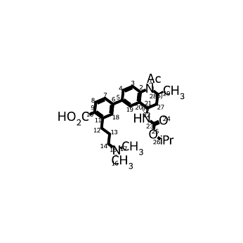 CC(=O)N1c2ccc(-c3ccc(C(=O)O)c(CCCN(C)C)c3)cc2[C@H](NC(=O)OC(C)C)C[C@@H]1C